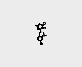 Cc1cc(=O)[nH]c(SCc2ccc(Br)cc2N(C)C)n1